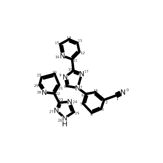 N#Cc1cccc(-n2cnc(-c3ccccn3)n2)c1.c1ccc(-c2nc[nH]n2)nc1